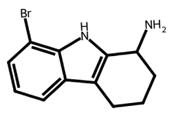 NC1CCCc2c1[nH]c1c(Br)cccc21